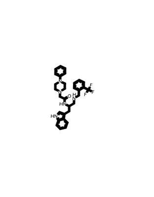 O=C(CN1CCN(c2ccccc2)CC1)NC(CNCc1ccccc1C(F)(F)F)Cc1c[nH]c2ccccc12